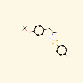 CC(Cc1ccc(OC(C)(C)C(=O)O)cc1)NS(=O)(=O)c1ccc(Cl)cc1